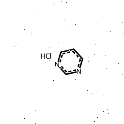 Cl.c1cncnc1